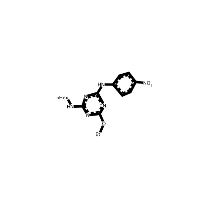 CCCCCCNc1nc(Nc2ccc([N+](=O)[O-])cc2)nc(OCC)n1